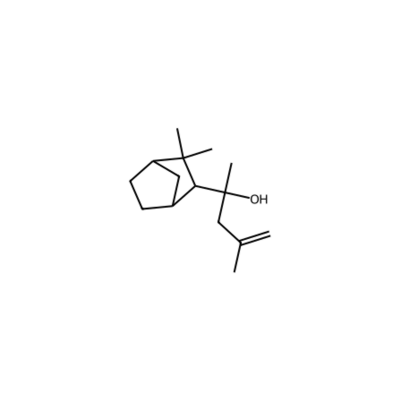 C=C(C)CC(C)(O)C1C2CCC(C2)C1(C)C